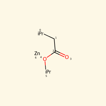 CC(C)CC(=O)OC(C)C.[Zn]